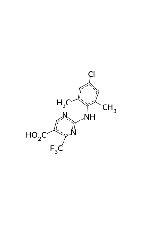 Cc1cc(Cl)cc(C)c1Nc1ncc(C(=O)O)c(C(F)(F)F)n1